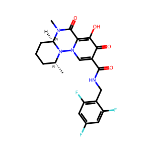 C[C@@H]1CCC[C@H]2N(C)C(=O)c3c(O)c(=O)c(C(=O)NCc4c(F)cc(F)cc4F)cn3N12